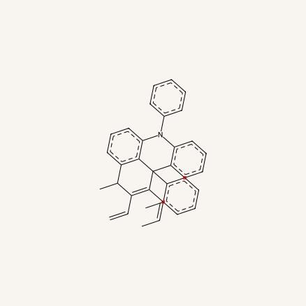 C=CC1=C(/C=C\C)C2(c3ccccc3C)c3ccccc3N(c3ccccc3)c3cccc(c32)C1C